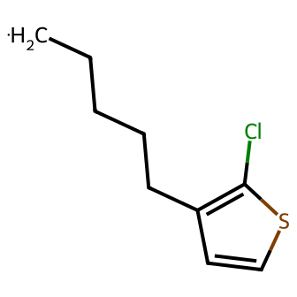 [CH2]CCCCc1ccsc1Cl